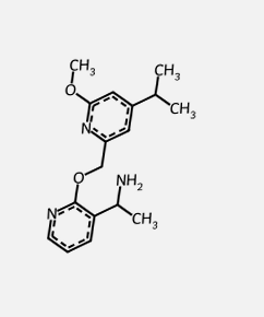 COc1cc(C(C)C)cc(COc2ncccc2C(C)N)n1